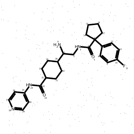 NC(CNC(=O)C1(c2ccc(F)cc2)CCCC1)C1CCC(C(=O)Nc2ccncc2)CC1